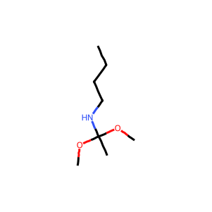 CCCCNC(C)(OC)OC